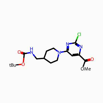 COC(=O)c1cc(N2CCC(CNC(=O)OC(C)(C)C)CC2)nc(Cl)n1